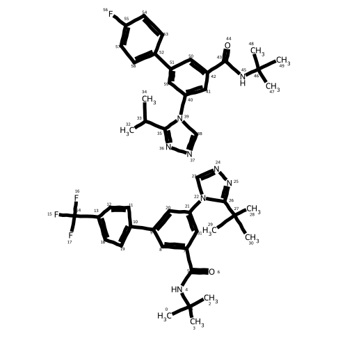 CC(C)(C)NC(=O)c1cc(-c2ccc(C(F)(F)F)cc2)cc(-n2cnnc2C(C)(C)C)c1.CC(C)c1nncn1-c1cc(C(=O)NC(C)(C)C)cc(-c2ccc(F)cc2)c1